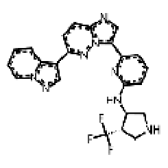 FC(F)(F)[C@H]1CNC[C@@H]1Nc1cccc(-c2cnc3ccc(-c4cnn5ccccc45)nn23)n1